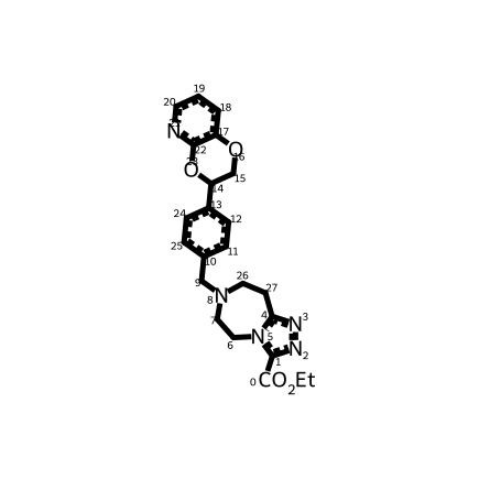 CCOC(=O)c1nnc2n1CCN(Cc1ccc(C3COc4cccnc4O3)cc1)CC2